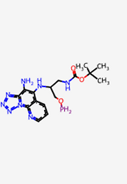 CC(C)(C)OC(=O)NCC(COP)Nc1c(N)c2nnnn2c2ncccc12